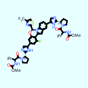 COC(=O)NC(C(=O)N1CCC[C@H]1c1ncc(-c2cc(F)c3c(c2)OC(c2nc(C(F)(F)F)cs2)n2c-3cc3cc(-c4cnc([C@@H]5CCCN5C(=O)C(NC(=O)OC)C(C)C)[nH]4)ccc32)[nH]1)C(C)C